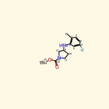 Cc1ccc(F)cc1N[C@H]1CCN(C(=O)OC(C)(C)C)C1